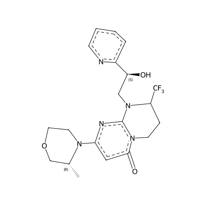 C[C@@H]1COCCN1c1cc(=O)n2c(n1)N(C[C@H](O)c1ccccn1)C(C(F)(F)F)CC2